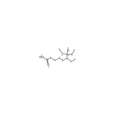 CCC(CCCCC(=O)O)[C]([Zr])(CC)CC